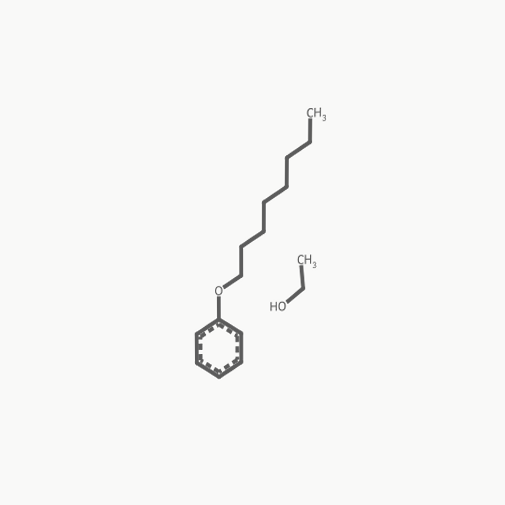 CCCCCCCCOc1ccccc1.CCO